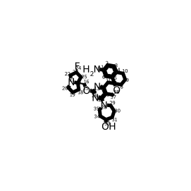 Nc1ccc2c(c1)C1(CCC2)Cc2nc(OC[C@@]34CCCN3C[C@H](F)C4)nc(N3CCCC(O)CC3)c2CO1